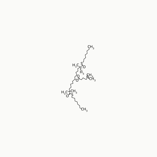 CCCCCCCCSC(=O)C(C)(C)CCCCCC(CCCCCC(C)(C)C(=O)SCCCCCCCC)OC(=O)CCCN(C)C